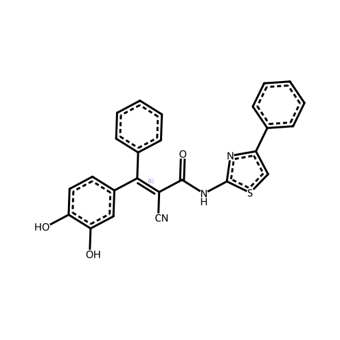 N#C/C(C(=O)Nc1nc(-c2ccccc2)cs1)=C(/c1ccccc1)c1ccc(O)c(O)c1